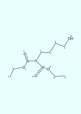 CCOC(=O)C(CCCCO)C(=O)OCC